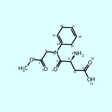 COC(=O)CN(C(=O)[C@@H](N)CC(=O)O)C1=CCC=CC1